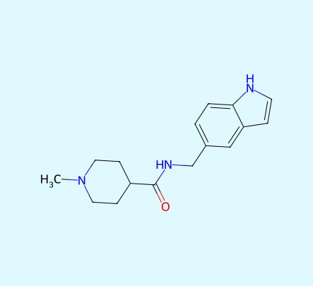 CN1CCC(C(=O)NCc2ccc3[nH]ccc3c2)CC1